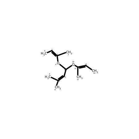 CC=C(C)OC(C=C(C)C)OC(C)=CC